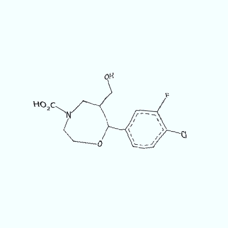 O=C(O)N1CCOC(c2ccc(Cl)c(F)c2)C(CO)C1